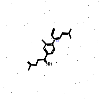 C=C/C(=C\C=C(C)C)c1ccc(C(=N)CCC(=C)C)cc1C